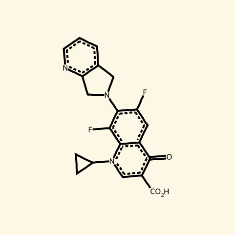 O=C(O)c1cn(C2CC2)c2c(F)c(N3Cc4cccnc4C3)c(F)cc2c1=O